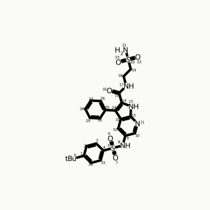 CC(C)(C)c1ccc(S(=O)(=O)Nc2cnc3[nH]c(C(=O)NCCS(N)(=O)=O)c(-c4ccccc4)c3c2)cc1